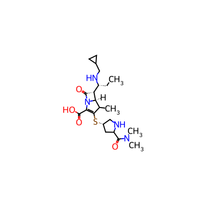 CC[C@@H](NCC1CC1)[C@H]1C(=O)N2C(C(=O)O)=C(S[C@@H]3CNC(C(=O)N(C)C)C3)C(C)[C@H]12